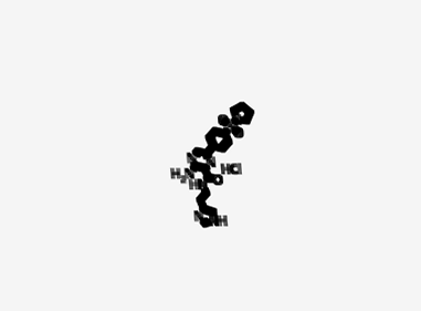 Cl.Nc1ncc(-c2ccc(S(=O)(=O)N3CCCC3)cc2)nc1C(=O)NCCc1c[nH]cn1